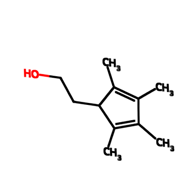 CC1=C(C)C(CCO)C(C)=C1C